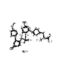 COc1ccc(-c2cc(Cl)ccc2[C@@H](Oc2cc(C3=CCC(C[C@H](N)C(=O)O)CC3)nc(N)n2)C(F)(F)F)cc1.Cl